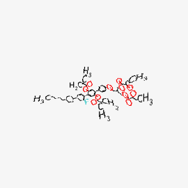 C=C(C)C(=O)Oc1cc(-c2ccc(C3CCC(CCCCC)CC3)cc2F)c(OC(=O)C(=C)C)cc1-c1ccc(OCC(COC(=O)C(=O)CC)COC(=O)C(=O)CC)cc1